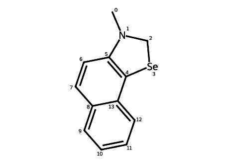 CN1C[Se]c2c1ccc1ccccc21